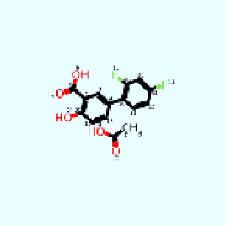 CC(=O)O.O=C(O)c1cc(-c2ccc(F)cc2F)ccc1O